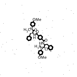 COc1ccc(N(C)C(=O)[C@H](Cc2ccccc2)NC(=O)c2ccc(C(=O)NC(Cc3ccccc3)C(C)N(C)c3ccc(OC)cc3)cc2)cc1